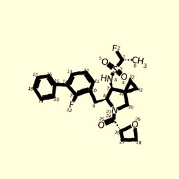 C[C@@H](F)S(=O)(=O)N[C@@H]1[C@H](Cc2cccc(-c3ccccc3)c2F)N(C(=O)[C@H]2CCO2)CC12CC2